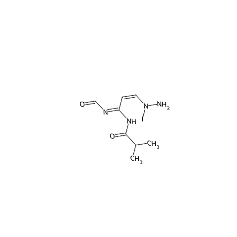 CC(C)C(=O)NC(/C=C\N(N)I)=N/C=O